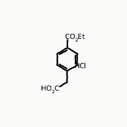 CCOC(=O)c1ccc(CC(=O)O)cc1.Cl